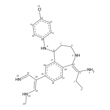 CC/C(N)=C1/NCCC(Nc2ccc(Cl)cc2)c2cc(/C(C=N)=C/NC)ccc21